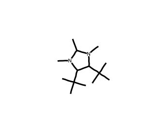 CC1N(C)C(C(C)(C)C)C(C(C)(C)C)N1C